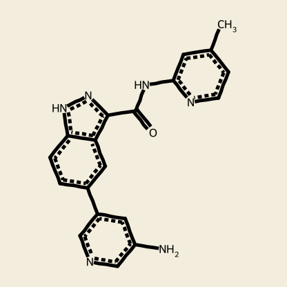 Cc1ccnc(NC(=O)c2n[nH]c3ccc(-c4cncc(N)c4)cc23)c1